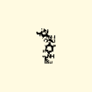 Cc1cc(NS(=O)(=O)c2ccc(NCC(C)(C)C)cc2)no1